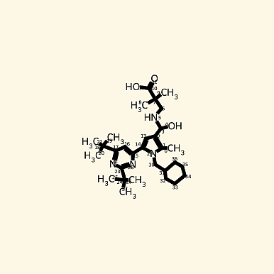 Cc1c(C(O)NCC(C)(C)C(=O)O)cc(-c2cc(C(C)(C)C)nc(C(C)(C)C)n2)n1CC1CCCCC1